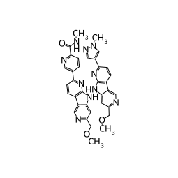 CNC(=O)c1ccc(-c2ccc3c(n2)[nH]c2cc(COC)ncc23)cn1.COCc1cc2[nH]c3nc(-c4cnn(C)c4)ccc3c2cn1